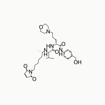 CC(C)[C@H](N[C@@H](C)CCCCCN1C(=O)C=CC1=O)C(=O)N[C@@H](CCCN1CCOCC1)C(=O)Nc1ccc(CO)cc1